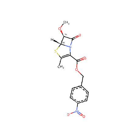 CO[C@H]1C(=O)N2C(C(=O)OCc3ccc([N+](=O)[O-])cc3)=C(C)S[C@H]12